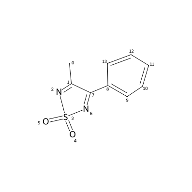 CC1=NS(=O)(=O)N=C1c1ccccc1